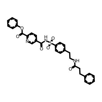 O=C(CCc1ccccc1)NCCc1ccc(S(=O)(=O)NC(=O)c2ccc(C(=O)Oc3ccccc3)nc2)cc1